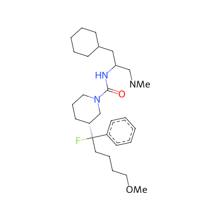 CNCC(CC1CCCCC1)NC(=O)N1CCC[C@@H](C(F)(CCCCOC)c2ccccc2)C1